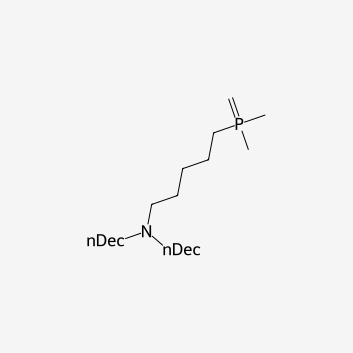 C=P(C)(C)CCCCCN(CCCCCCCCCC)CCCCCCCCCC